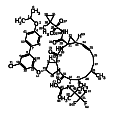 CC(C)Oc1ccc(-c2cc(Cl)cc(O[C@@H]3C[C@H]4C(=O)N[C@]5(C(=O)NS(=O)(=O)C6(C)CC6)C[C@H]5/C=C\CC[C@@H](C)C[C@@H](C)[C@H](N(C(=O)O)C(C)(C)C(F)(F)F)C(=O)N4C3)n2)cc1